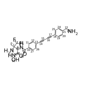 CC(N)(C(F)F)[C@H](NC(=O)c1ccc(C#CC#Cc2ccc(CN)cc2)cc1)C(=O)NO